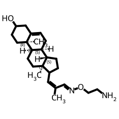 CC(C=NOCCN)=CC1CC[C@H]2[C@@H]3CC=C4CC(O)CC[C@]4(C)[C@@H]3CC[C@]12C